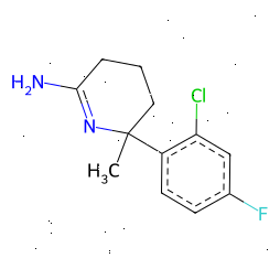 CC1(c2ccc(F)cc2Cl)CCCC(N)=N1